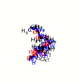 CCCCCCCCC(NC(=O)c1cocn1)C(=O)NC(C(=O)NC(C)(C)C(=O)NC(CC(C)C)C(=O)NC(CC(C)C)C(=O)NC(C)(C)C(=O)NC(C)(C)C(=O)NCCC(=O)NC(C)CN(C)C)C(C)O